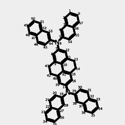 c1ccc2cc(N(c3cc4c5c(c3)CCc3cc(N(c6ccc7ccccc7c6)c6ccc7ccccc7c6)cc(c3-5)CC4)c3ccc4ccccc4c3)ccc2c1